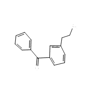 CC(=O)CCc1cccc(C(=O)c2ccccc2)c1